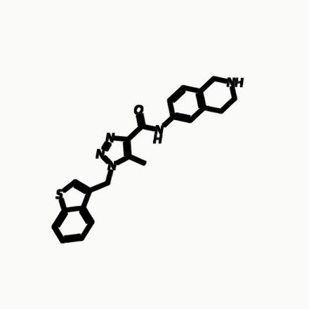 Cc1c(C(=O)Nc2ccc3c(c2)CCNC3)nnn1Cc1csc2ccccc12